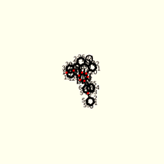 c1ccc(-c2ccc(-c3nc(-c4ccccc4)nc(-c4cccc5oc6ccc7c8ccccc8n(-c8ccc(-c9ccccc9)cc8)c7c6c45)n3)cc2)cc1